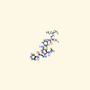 CN(C)CCN(C)C(=O)N[C@H]1CC[C@H](Nc2cc(NC3CC3)c3ncc(C(=O)Nc4ccncc4F)n3n2)CC1